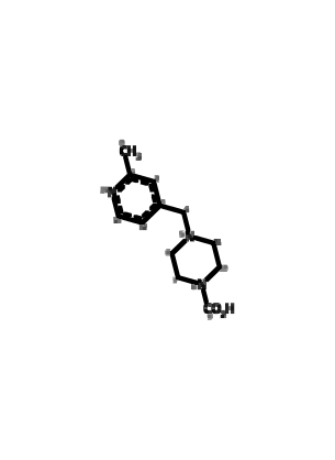 Cc1cc(CN2CCN(C(=O)O)CC2)ccn1